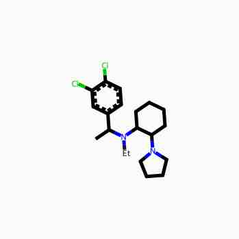 CCN(C(C)c1ccc(Cl)c(Cl)c1)C1CCCCC1N1CCCC1